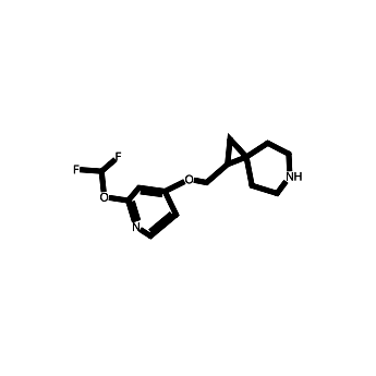 FC(F)Oc1cc(OCC2CC23CCNCC3)ccn1